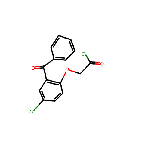 O=C(Cl)COc1ccc(Cl)cc1C(=O)c1ccccc1